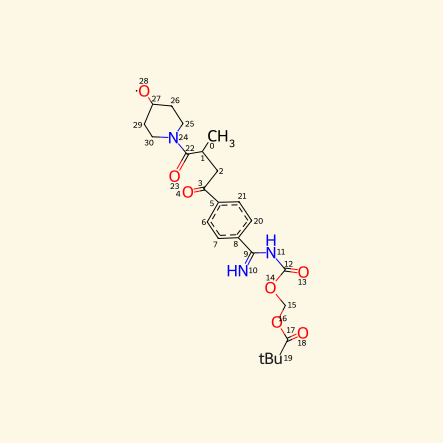 CC(CC(=O)c1ccc(C(=N)NC(=O)OCOC(=O)C(C)(C)C)cc1)C(=O)N1CCC([O])CC1